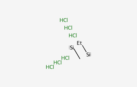 CC[Si].C[Si].Cl.Cl.Cl.Cl.Cl.Cl